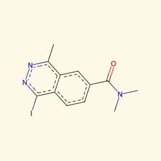 Cc1nnc(I)c2ccc(C(=O)N(C)C)cc12